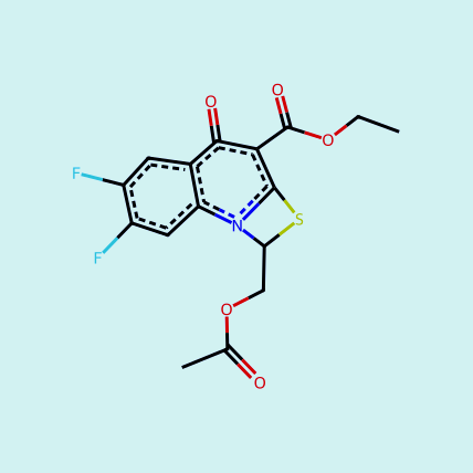 CCOC(=O)c1c2n(c3cc(F)c(F)cc3c1=O)C(COC(C)=O)S2